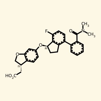 CN(C)C(=O)c1ccccc1-c1ccc(F)c2c1CC[C@H]2Oc1ccc2c(c1)OC[C@H]2CC(=O)O